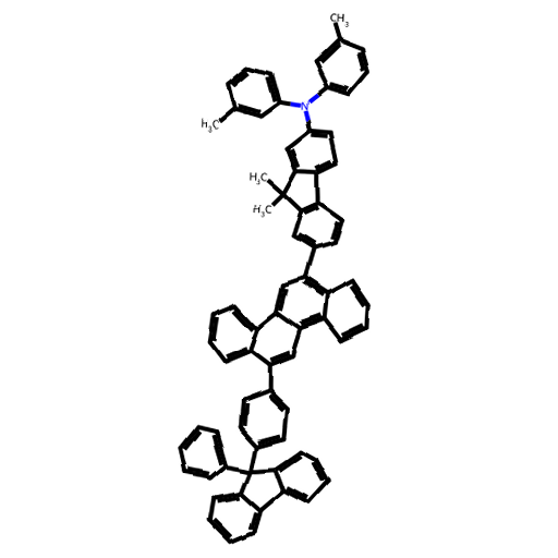 Cc1cccc(N(c2cccc(C)c2)c2ccc3c(c2)C(C)(C)c2cc(-c4cc5c6ccccc6c(-c6ccc(C7(c8ccccc8)c8ccccc8-c8ccccc87)cc6)cc5c5ccccc45)ccc2-3)c1